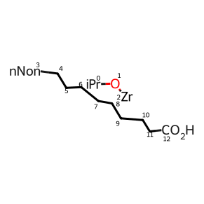 CC(C)[O][Zr].CCCCCCCCCCCCCCCCCC(=O)O